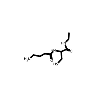 CCNC(=O)C(CS)NC(=O)CCCN